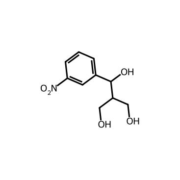 O=[N+]([O-])c1cccc(C(O)C(CO)CO)c1